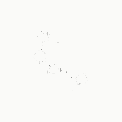 CC(C)c1cccc2c1[C@H](Cn1cnc(-c3cc(-c4nn[nH]c4C(F)(F)F)ccn3)c1)CCO2